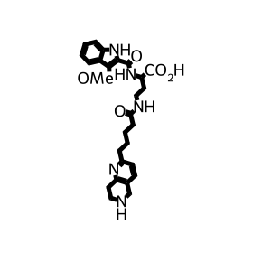 COc1c(C(=O)NC(CCNC(=O)CCCCc2ccc3c(n2)CCNC3)C(=O)O)[nH]c2ccccc12